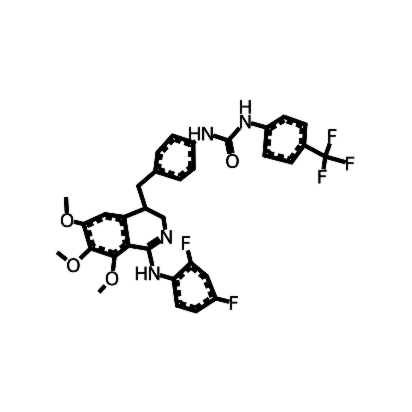 COc1cc2c(c(OC)c1OC)C(Nc1ccc(F)cc1F)=NCC2Cc1ccc(NC(=O)Nc2ccc(C(F)(F)F)cc2)cc1